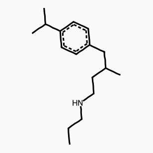 CCCNCCC(C)Cc1ccc(C(C)C)cc1